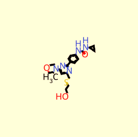 C[C@H]1COCCN1c1cc(CSCCCO)nc(-c2ccc(NC(=O)NC3CC3)cc2)n1